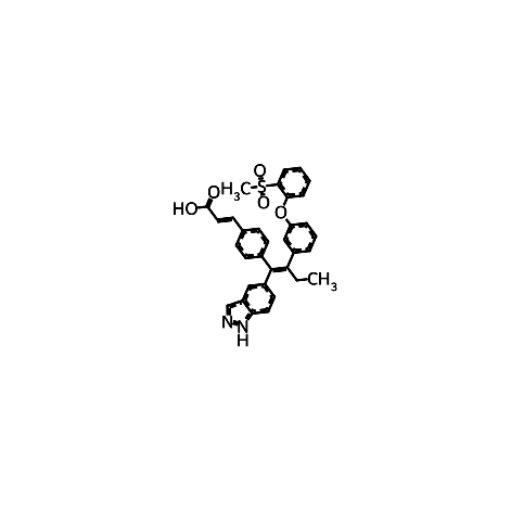 CC/C(=C(/c1ccc(/C=C/C(=O)O)cc1)c1ccc2[nH]ncc2c1)c1cccc(Oc2ccccc2S(C)(=O)=O)c1